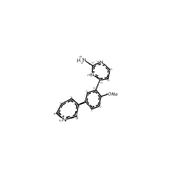 COc1ccc(-c2cccnc2)cc1-c1ccnc(N)n1